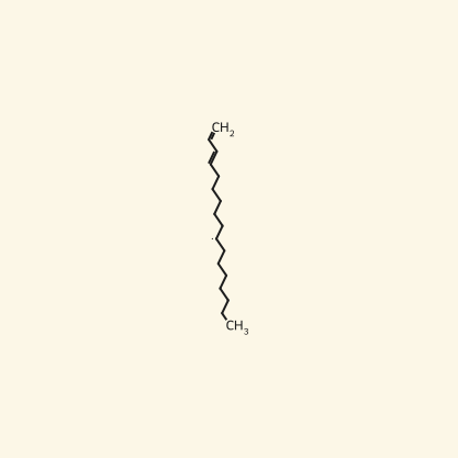 C=C/C=C/CCCCC[CH]CCCCCCC